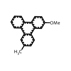 COc1ccc2c3ccccc3c3cc(C)ccc3c2c1